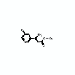 CC(C)(C)OC(=O)CC(N)c1cncc(Br)c1